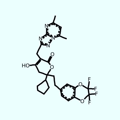 Cc1cc(C)n2nc(CC3=C(O)CC(CCc4ccc5c(c4)OC(F)(F)C(F)(F)O5)(C4CCCC4)OC3=O)nc2n1